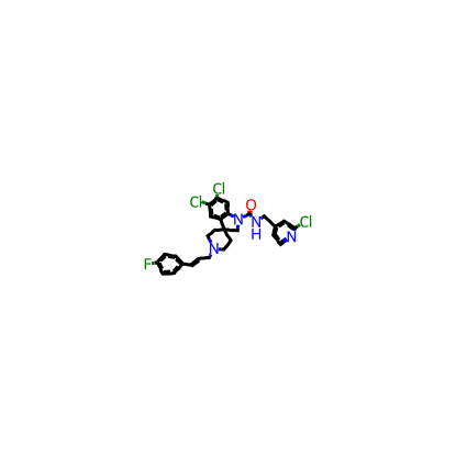 O=C(NCc1ccnc(Cl)c1)N1CC2(CCN(CC=Cc3ccc(F)cc3)CC2)c2cc(Cl)c(Cl)cc21